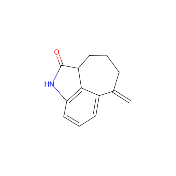 C=C1CCCC2C(=O)Nc3cccc1c32